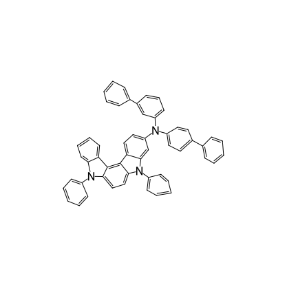 c1ccc(-c2ccc(N(c3cccc(-c4ccccc4)c3)c3ccc4c5c6c7ccccc7n(-c7ccccc7)c6ccc5n(-c5ccccc5)c4c3)cc2)cc1